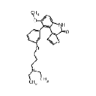 CCN(CC)CCCOc1cccc(-c2c(OC)ccc3[nH]c(=O)c4sccc4c23)c1